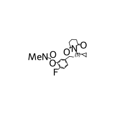 CNC(=O)Oc1cc(CC[C@@H](C2CC2)N2C(=O)CCCC2=O)ccc1F